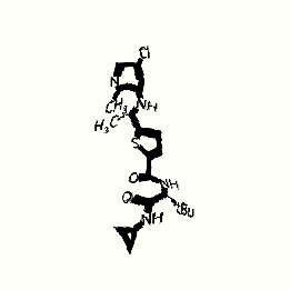 Cc1ncc(Cl)cc1N[C@@H](C)c1ccc(C(=O)N[C@H](C(=O)NC2CC2)C(C)(C)C)s1